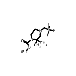 CC(C)(C)OC(=O)N1CCN(C[B-](F)(F)F)CC1(C)C